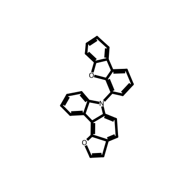 c1ccc2c(c1)oc1c(-n3c4ccccc4c4c5occc5ccc43)cccc12